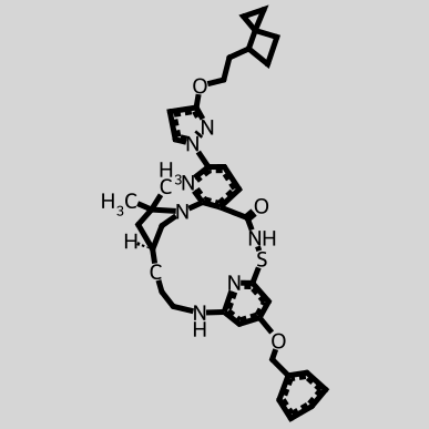 CC1(C)C[C@@H]2CCCNc3cc(OCc4ccccc4)cc(n3)SNC(=O)c3ccc(-n4ccc(OCCC5CCC56CC6)n4)nc3N1C2